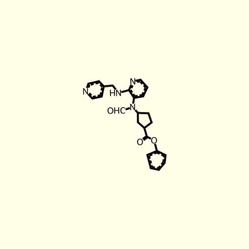 O=CN(c1cccnc1NCc1ccncc1)C1CCC(C(=O)Oc2ccccc2)C1